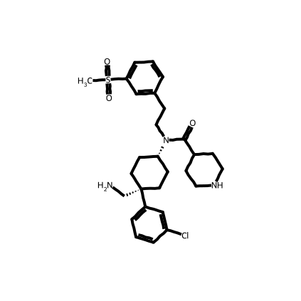 CS(=O)(=O)c1cccc(CCN(C(=O)C2CCNCC2)[C@H]2CC[C@](CN)(c3cccc(Cl)c3)CC2)c1